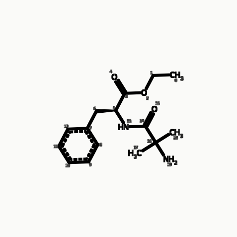 CCOC(=O)[C@H](Cc1ccccc1)NC(=O)C(C)(C)N